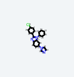 Clc1ccc(-c2nc3ccc(-n4ccnc4)cc3n2-c2ccccc2)cc1